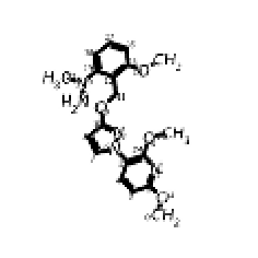 COc1ccc(-n2ccc(OCc3c(OC)cccc3N(C)N)n2)c(OC)n1